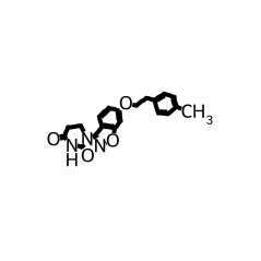 Cc1ccc(CCOc2ccc3c(N4CCC(=O)NC4=O)noc3c2)cc1